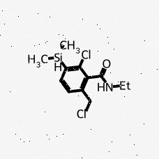 CCNC(=O)c1c(CCl)ccc([SiH](C)C)c1Cl